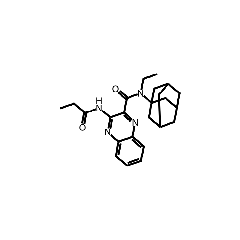 CCC(=O)Nc1nc2ccccc2nc1C(=O)N(CC)C12CC3CC(CC(C3)C1)C2